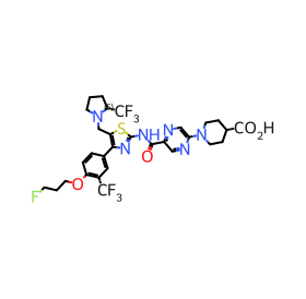 O=C(Nc1nc(-c2ccc(OCCCF)c(C(F)(F)F)c2)c(CN2CCC[C@H]2C(F)(F)F)s1)c1cnc(N2CCC(C(=O)O)CC2)cn1